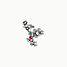 CC(C)C(=O)Nc1nc2c(ccn2[C@@H]2O[C@@H]3CO[Si](C(C)C)(C(C)C)O[Si](C(C)C)(C(C)C)O[C@H]3[C@H]2OP(=S)(OCCC#N)OC[C@H]2C[C@@H](Oc3ccncn3)C[C@@H]2O[PH](=O)O)c(=O)[nH]1